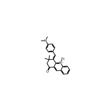 CC[n+]1c2c(cc3ccccc31)C(=O)CC(C)(C)C2=Cc1ccc(N(C)C)cc1